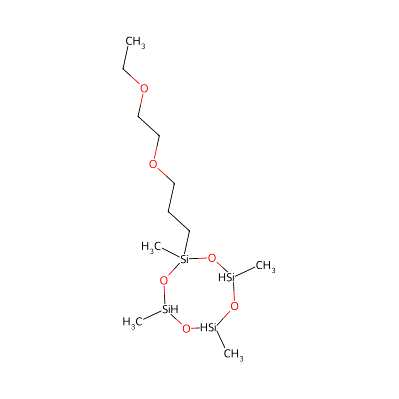 CCOCCOCCC[Si]1(C)O[SiH](C)O[SiH](C)O[SiH](C)O1